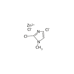 Cn1ccnc1Cl.[Cl-].[Cl-].[Zn+2]